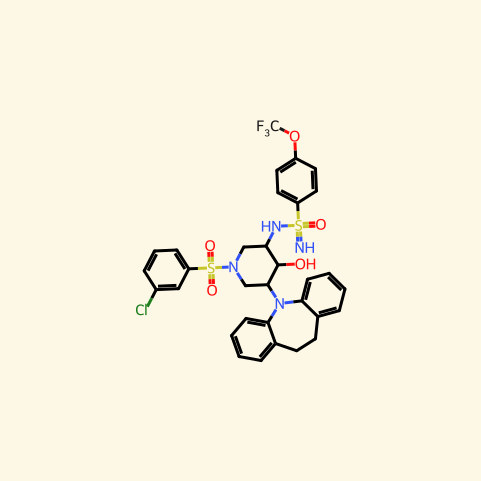 N=S(=O)(NC1CN(S(=O)(=O)c2cccc(Cl)c2)CC(N2c3ccccc3CCc3ccccc32)C1O)c1ccc(OC(F)(F)F)cc1